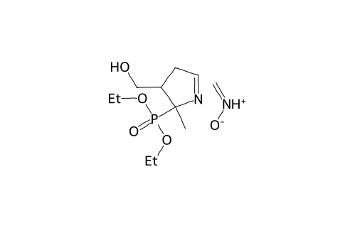 C=[NH+][O-].CCOP(=O)(OCC)C1(C)N=CCC1CO